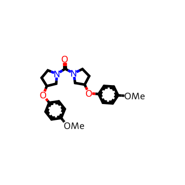 COc1ccc(OC2CCN(C(=O)N3CCC(Oc4ccc(OC)cc4)C3)C2)cc1